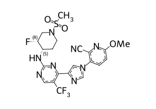 COc1ccc(-n2cnc(-c3nc(N[C@H]4CCN(S(C)(=O)=O)C[C@H]4F)ncc3C(F)(F)F)c2)c(C#N)n1